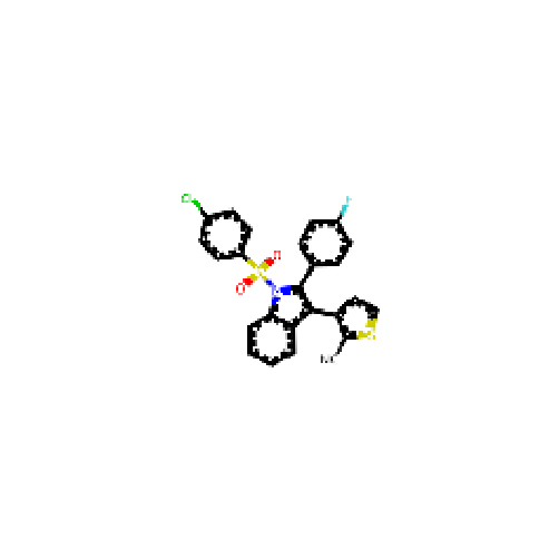 N#Cc1sccc1-c1c(-c2ccc(F)cc2)n(S(=O)(=O)c2ccc(Cl)cc2)c2ccccc12